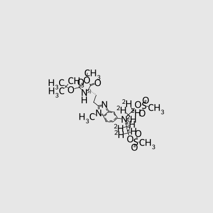 [2H]C([2H])(OS(C)(=O)=O)C([2H])([2H])N(c1ccc2c(c1)nc(CC[C@H](NC(=O)OC(C)(C)C)C(=O)OC)n2C)C([2H])([2H])C([2H])([2H])OS(C)(=O)=O